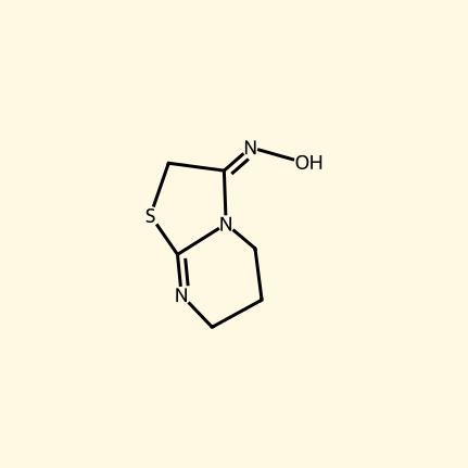 O/N=C1/CSC2=NCCCN21